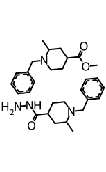 CC1CC(C(=O)NN)CCN1Cc1ccccc1.COC(=O)C1CCN(Cc2ccccc2)C(C)C1